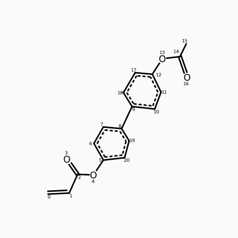 C=CC(=O)Oc1ccc(-c2ccc(OC(C)=O)cc2)cc1